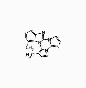 Cc1cccc2nc3n4ccnc4n4ccc(C)c4n3c12